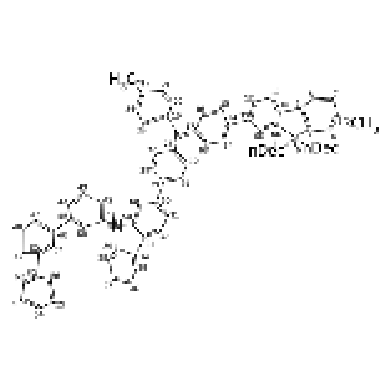 CCCCCCCCCCC1(CCCCCCCCCC)c2cc(C)ccc2-c2ccc(-c3ccc(N(c4ccc(C)cc4)c4ccc(-c5ccc6c7ccccc7n(-c7cccc(-c8cccc(-c9ccccc9)c8)c7)c6c5)cc4)cc3)cc21